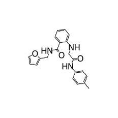 Cc1ccc(NC(=O)CNc2ccccc2C(=O)NCc2ccco2)cc1